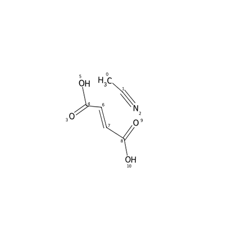 CC#N.O=C(O)/C=C/C(=O)O